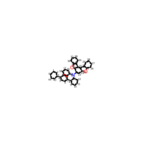 c1ccc(-c2ccc(-c3ccccc3N(c3ccccc3)c3cc4oc5ccccc5c4c4c3oc3ccccc34)cc2)cc1